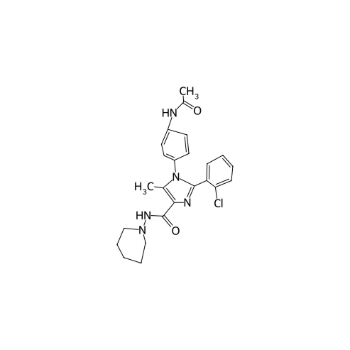 CC(=O)Nc1ccc(-n2c(-c3ccccc3Cl)nc(C(=O)NN3CCCCC3)c2C)cc1